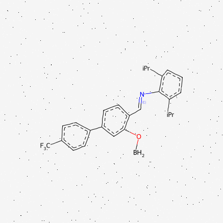 BOc1cc(-c2ccc(C(F)(F)F)cc2)ccc1/C=N/c1c(C(C)C)cccc1C(C)C